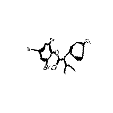 CC(C)C(C(=O)Oc1c(Br)cc(Br)cc1Br)c1ccc(Cl)cc1